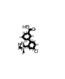 Cn1cnnc1-c1cc(Cl)ccc1-c1cccc(C(=O)O)c1